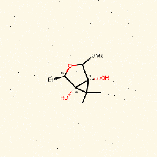 CC[C@H]1OC(OC)[C@@]2(O)C(C)(C)[C@@]12O